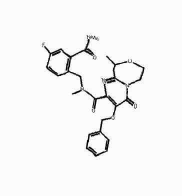 CNC(=O)c1cc(F)ccc1CN(C)C(=O)c1nc2n(c(=O)c1OCc1ccccc1)CCOC2C